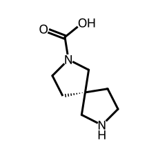 O=C(O)N1CC[C@@]2(CCNC2)C1